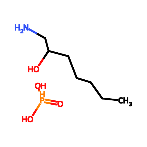 CCCCCC(O)CN.O=[PH](O)O